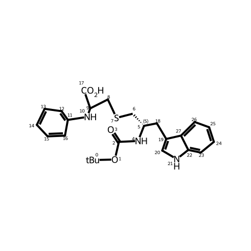 CC(C)(C)OC(=O)N[C@H](CSCC(Nc1ccccc1)C(=O)O)Cc1c[nH]c2ccccc12